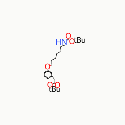 CC(C)(C)OC(=O)Cc1cccc(OCCCCCCCNC(=O)OC(C)(C)C)c1